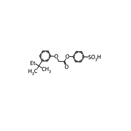 CCC(C)(C)c1cccc(OCC(=O)Oc2ccc(S(=O)(=O)O)cc2)c1